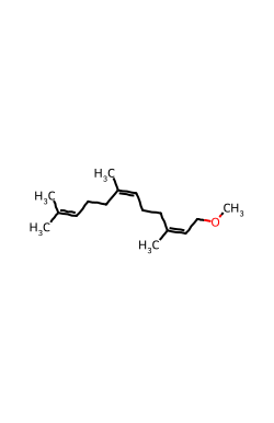 COCC=C(C)CCC=C(C)CCC=C(C)C